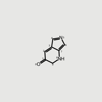 O=C1C=C2C=NC=C2NC1